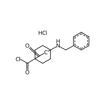 Cl.O=C(Cl)C12CCC(NCc3ccccc3)(CC1)CC2=O